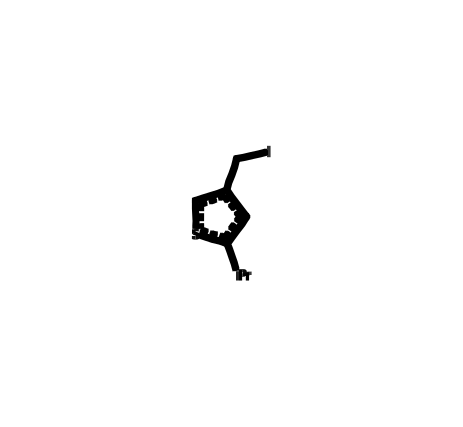 CC(C)c1cc(CI)cs1